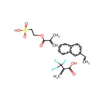 C=C(C(=O)O)C(F)(F)F.C=C(C)C(=O)OCCS(=O)(=O)O.C=Cc1ccc2ccccc2c1